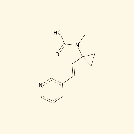 CN(C(=O)O)C1(C=Cc2cccnc2)CC1